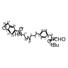 CN(CCCc1ccc(CN(C=O)OC(C)(C)C)cc1)CCNC(=O)c1ccc2occc2c1